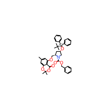 Cc1cc(OC[C@H]2C[C@@H](O[Si](c3ccccc3)(c3ccccc3)C(C)(C)C)CN2C(=O)OCc2ccccc2)c2c(c1)OC(C)(C)OC2=O